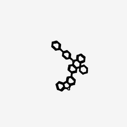 c1ccc(-c2ccc(N3c4ccccc4C4(CCCCC4)c4cc(-c5ccc6oc7ccccc7c6c5)ccc43)cc2)cc1